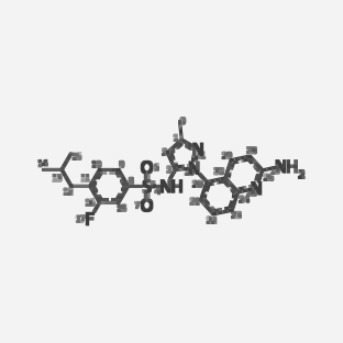 Cc1cc(NS(=O)(=O)c2ccc(CC(C)C)c(F)c2)n(-c2cccc3nc(N)ccc23)n1